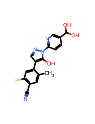 Cc1cc(C#N)c(F)cc1-c1cnn(-c2ccc(C(O)O)cn2)c1O